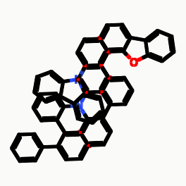 c1ccc(-c2ccccc2-c2ccccc2N(c2ccc(-c3cccc4c3oc3ccccc34)cc2)c2ccccc2-c2cccc(-c3ccccc3-n3c4ccccc4c4ccccc43)c2)cc1